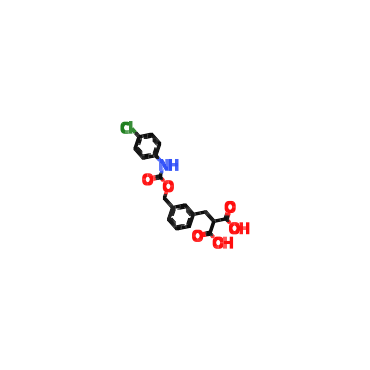 O=C(Nc1ccc(Cl)cc1)OCc1cccc(CC(C(=O)O)C(=O)O)c1